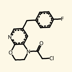 O=C(CCl)N1CCOc2ncc(Cc3ccc(F)cc3)cc21